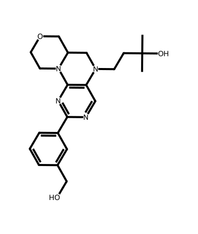 CC(C)(O)CCN1CC2COCCN2c2nc(-c3cccc(CO)c3)ncc21